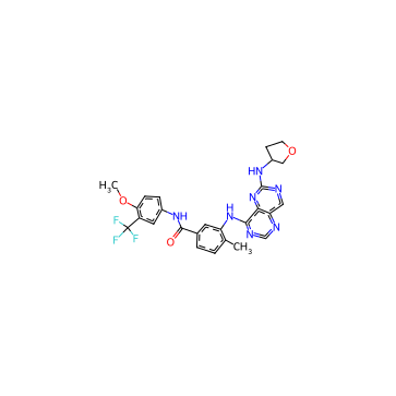 COc1ccc(NC(=O)c2ccc(C)c(Nc3ncnc4cnc(NC5CCOC5)nc34)c2)cc1C(F)(F)F